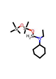 CCN([SiH2]O[Si](C)(C)O[Si](C)(C)C)C1CCCCC1